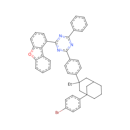 CCC1(c2ccc(-c3nc(-c4ccccc4)nc(-c4cccc5oc6ccccc6c45)n3)cc2)CC2CCCC(c3ccc(Br)cc3)(C2)C1